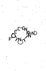 C=C1/C=C2/N=C(N3CCCC3)C=C(N(C)CCCCCc3ccc(F)cc3C(=C)N3CCCCC13)N2C